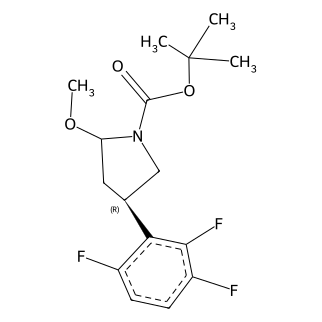 COC1C[C@H](c2c(F)ccc(F)c2F)CN1C(=O)OC(C)(C)C